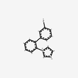 Fc1cccc(-c2ccccc2-n2ccnc2)c1